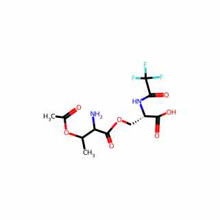 CC(=O)OC(C)C(N)C(=O)OC[C@H](NC(=O)C(F)(F)F)C(=O)O